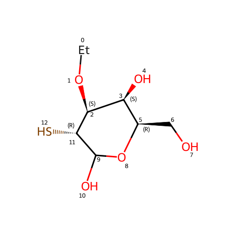 CCO[C@H]1[C@@H](O)[C@@H](CO)OC(O)[C@@H]1S